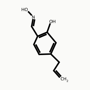 C=CCc1ccc(C=NO)c(O)c1